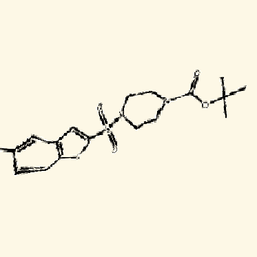 CC(C)(C)OC(=O)N1CCN(S(=O)(=O)c2cc3cc(Cl)ccc3s2)CC1